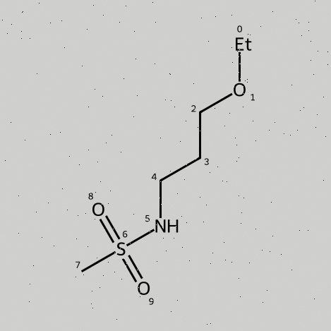 CCOCCCNS(C)(=O)=O